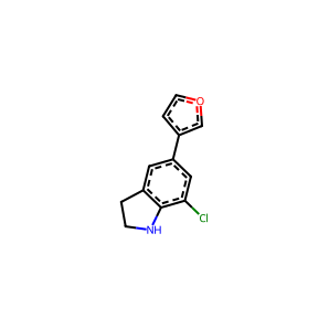 Clc1cc(-c2ccoc2)cc2c1NCC2